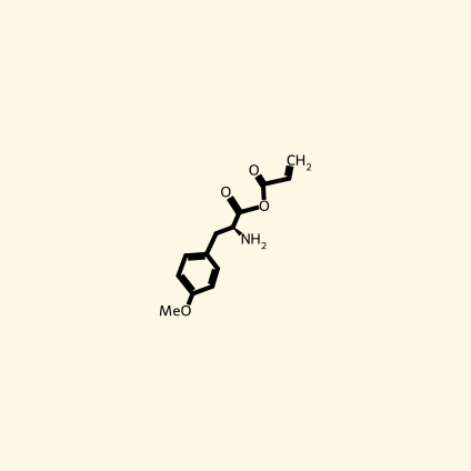 C=CC(=O)OC(=O)[C@@H](N)Cc1ccc(OC)cc1